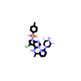 Cc1ccc(S(=O)(=O)n2cc(Br)c3c(NC(C)c4cccc(N5C[C@@H](C)N[C@@H](C)C5)n4)ncnc32)cc1